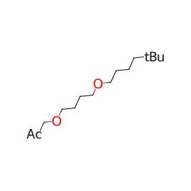 CC(=O)COCCCCOCCCCC(C)(C)C